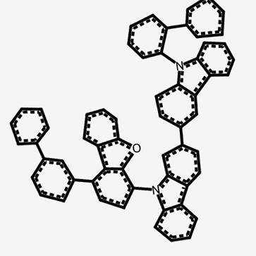 c1ccc(-c2cccc(-c3ccc(-n4c5ccccc5c5ccc(-c6ccc7c(c6)c6ccccc6n7-c6ccccc6-c6ccccc6)cc54)c4oc5ccccc5c34)c2)cc1